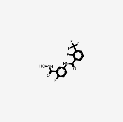 O=C(NO)c1cc(NC(=O)c2cccc(C(F)(F)F)c2F)ccc1F